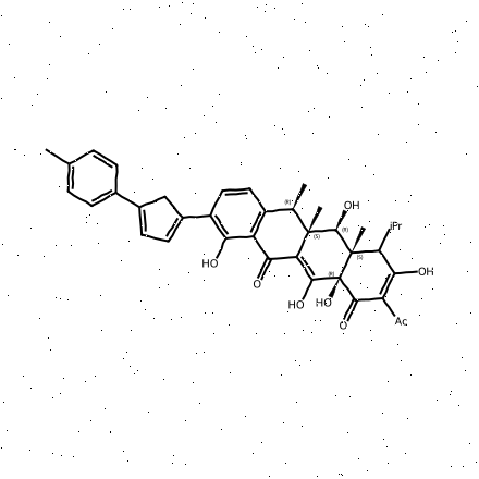 CC(=O)C1=C(O)C(C(C)C)[C@@]2(C)[C@H](O)[C@]3(C)C(=C(O)[C@@]2(O)C1=O)C(=O)c1c(ccc(C2=CC=C(c4ccc(C)cc4)C2)c1O)[C@H]3C